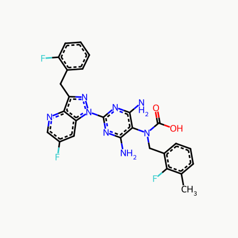 Cc1cccc(CN(C(=O)O)c2c(N)nc(-n3nc(Cc4ccccc4F)c4ncc(F)cc43)nc2N)c1F